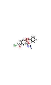 NC(=O)C1C=C(C(=O)CBr)C=CC1(O)OCc1ccccc1